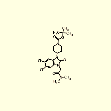 CN(C)C(=O)Cn1c(=O)n(C2CCN(C(=O)OC(C)(C)C)CC2)c2cc(Cl)c(Cl)cc21